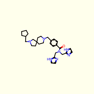 O=C(c1ccc(CN2CCC3(CC2)CCN(CC2CCCC2)C3)cc1)N(Cc1ncc[nH]1)Cc1ncc[nH]1